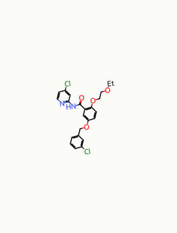 CCOCCOc1ccc(OCc2cccc(Cl)c2)cc1C(=O)Nc1cc(Cl)ccn1